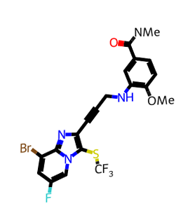 CNC(=O)c1ccc(OC)c(NCC#Cc2nc3c(Br)cc(F)cn3c2SC(F)(F)F)c1